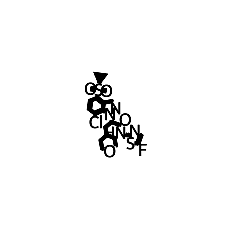 O=C(Nc1ncc(F)s1)C(CC1CCOCC1)n1ncc2c(S(=O)(=O)C3CC3)ccc(Cl)c21